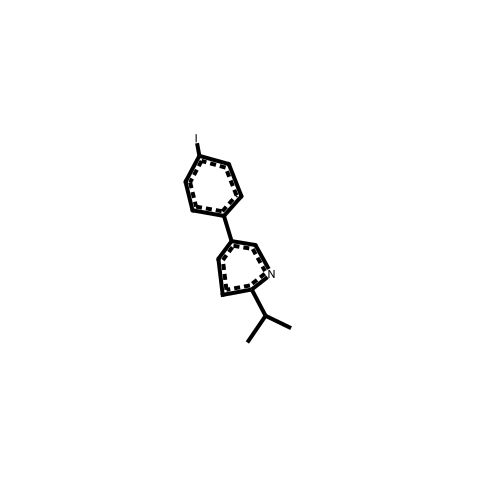 CC(C)c1ccc(-c2ccc(I)cc2)cn1